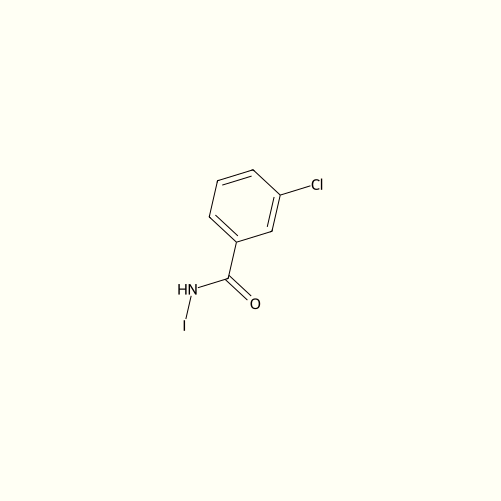 O=C(NI)c1cccc(Cl)c1